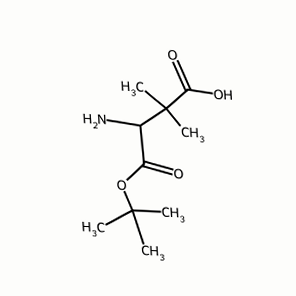 CC(C)(C)OC(=O)C(N)C(C)(C)C(=O)O